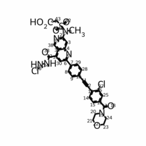 CN(c1cc2nc(-c3ccc(C#Cc4ccc(C(=O)N5CCOCC5)cc4Cl)cc3)cc(C(=O)NNCl)c2cn1)S(=O)(=O)CC(=O)O